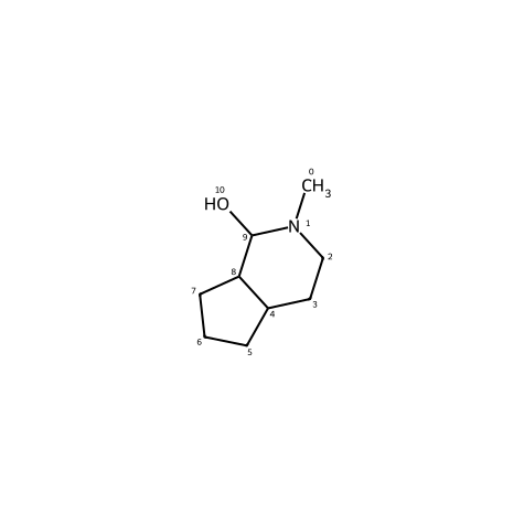 CN1CCC2CCCC2C1O